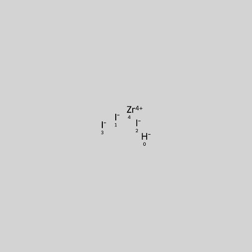 [H-].[I-].[I-].[I-].[Zr+4]